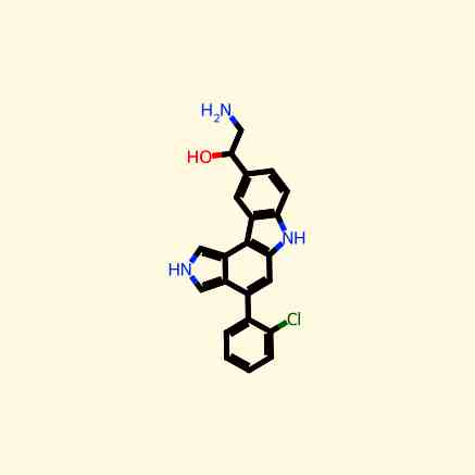 NCC(O)c1ccc2[nH]c3cc(-c4ccccc4Cl)c4c[nH]cc4c3c2c1